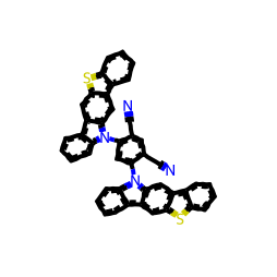 N#Cc1cc(C#N)c(-n2c3ccccc3c3cc4sc5ccccc5c4cc32)cc1-n1c2ccccc2c2cc3sc4ccccc4c3cc21